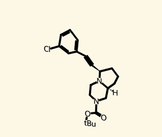 CC(C)(C)OC(=O)N1CCN2[C@@H](CCC[C@@H]2C#Cc2cccc(Cl)c2)C1